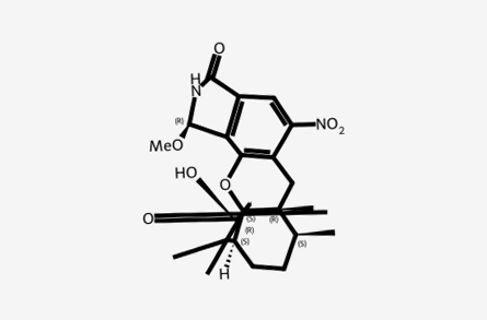 CO[C@H]1NC(=O)c2cc([N+](=O)[O-])c3c(c21)O[C@@]12C[C@@H](O)C(=O)C(C)(C)[C@@H]1CC[C@H](C)[C@@]2(C)C3